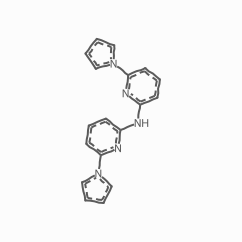 c1cc(Nc2cccc(-n3cccc3)n2)nc(-n2cccc2)c1